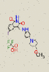 COCC1CCN(c2ccc(NC=C3C(=O)NC(=O)c4ccc(I)cc43)cc2)CC1.O=C(O)C(F)(F)F